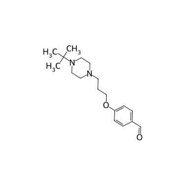 CC(C)(C)N1CCN(CCCOc2ccc(C=O)cc2)CC1